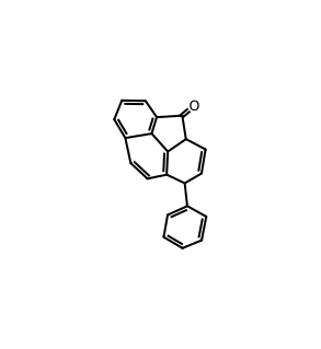 O=C1c2cccc3ccc4c(c23)C1C=CC4c1ccccc1